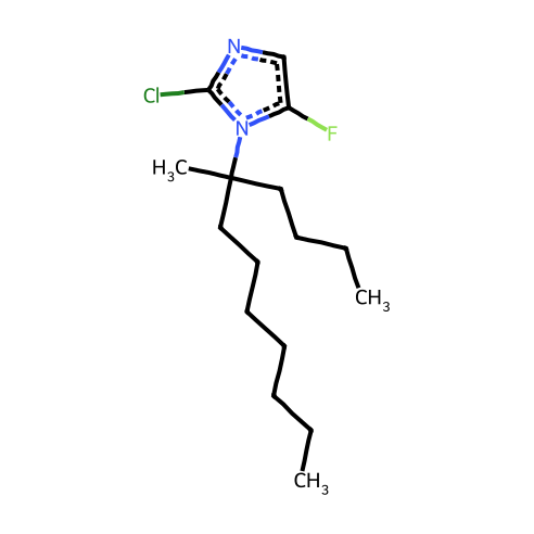 CCCCCCCC(C)(CCCC)n1c(F)cnc1Cl